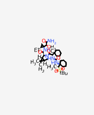 CC[C@@H]1CC1(NC(=O)[C@@H]1[C@@H]2[C@H](CN1C(=O)[C@@H](NC(=O)NC1([C@@H](C)S(=O)(=O)C(C)(C)C)CCCCC1)C1(C)CCCCC1)C2(C)C)C(=O)C(N)=O